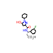 O=C(O)C[C@H](NC(=O)c1cc(O)n(-c2ccccc2)n1)c1cccc(F)c1